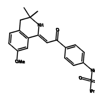 COc1ccc2c(c1)C(=CC(=O)c1ccc(NS(=O)(=O)C(C)C)cc1)NC(C)(C)C2